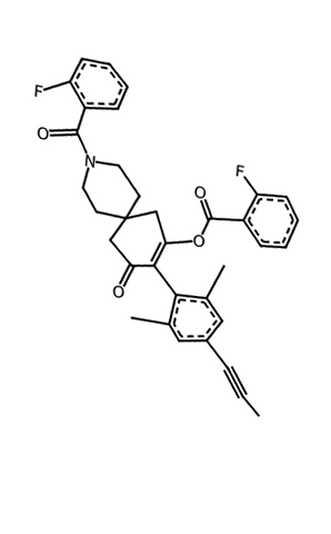 CC#Cc1cc(C)c(C2=C(OC(=O)c3ccccc3F)CC3(CCN(C(=O)c4ccccc4F)CC3)CC2=O)c(C)c1